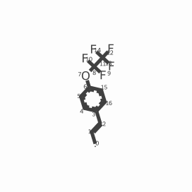 [CH2]C=Cc1ccc(OC(F)(F)C(F)(F)F)cc1